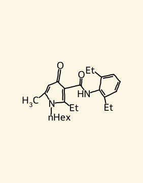 CCCCCCn1c(C)cc(=O)c(C(=O)Nc2c(CC)cccc2CC)c1CC